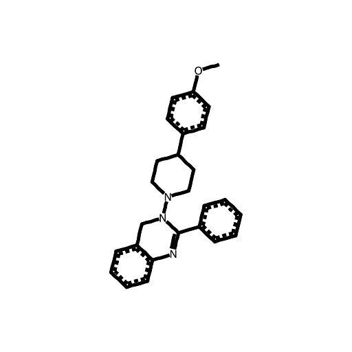 COc1ccc(C2CCN(N3Cc4ccccc4N=C3c3ccccc3)CC2)cc1